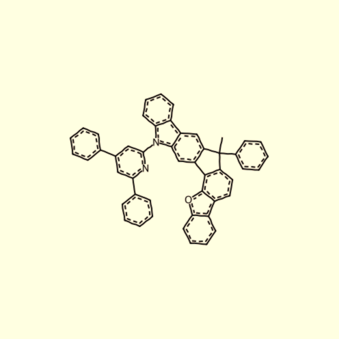 CC1(c2ccccc2)c2cc3c4ccccc4n(-c4cc(-c5ccccc5)cc(-c5ccccc5)n4)c3cc2-c2c1ccc1c2oc2ccccc21